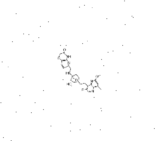 COc1cc(C)c2ncc(F)c(CCC34CCC(NCc5ccc6c(n5)NC(=O)CO6)(CC3)CO4)c2n1.Cl